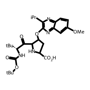 COc1ccc2nc(C(C)C)c(OC3CC(C(=O)O)NC3C(=O)[C@H](NC(=O)OC(C)(C)C)C(C)(C)C)nc2c1